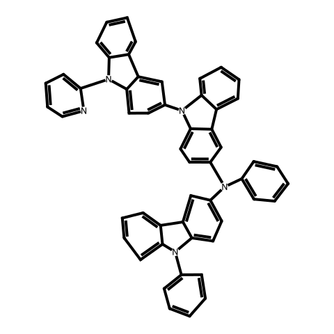 c1ccc(N(c2ccc3c(c2)c2ccccc2n3-c2ccccc2)c2ccc3c(c2)c2ccccc2n3-c2ccc3c(c2)c2ccccc2n3-c2ccccn2)cc1